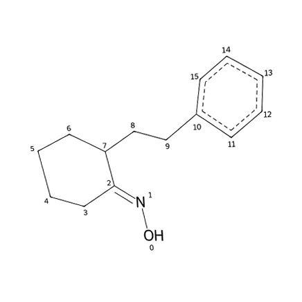 ON=C1CCCCC1CCc1ccccc1